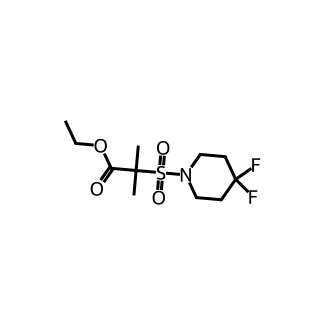 CCOC(=O)C(C)(C)S(=O)(=O)N1CCC(F)(F)CC1